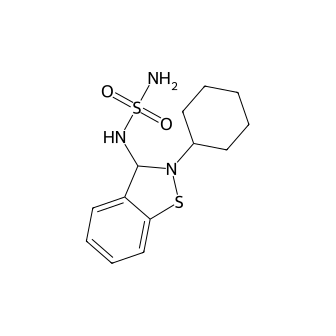 NS(=O)(=O)NC1c2ccccc2SN1C1CCCCC1